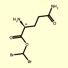 NC(=O)CC[C@H](N)C(=O)OC(Br)Br